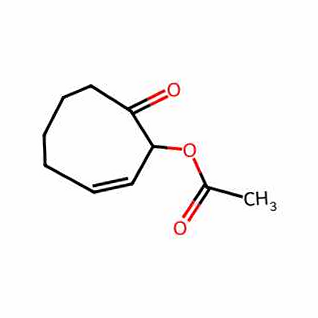 CC(=O)OC1/C=C\CCCCC1=O